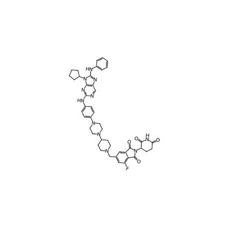 O=C1CCC(N2C(=O)c3cc(CN4CCC(N5CCN(c6ccc(Nc7ncc8nc(Nc9ccccc9)n(C9CCCC9)c8n7)cc6)CC5)CC4)cc(F)c3C2=O)C(=O)N1